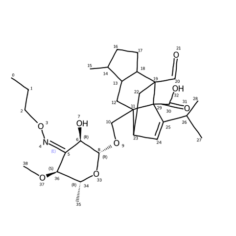 CCCO/N=C1\[C@@H](O)[C@H](OCC23CC4C(C)CCC4C4(C=O)CC2C=C(C(C)C)C43C(=O)O)O[C@H](C)[C@H]1OC